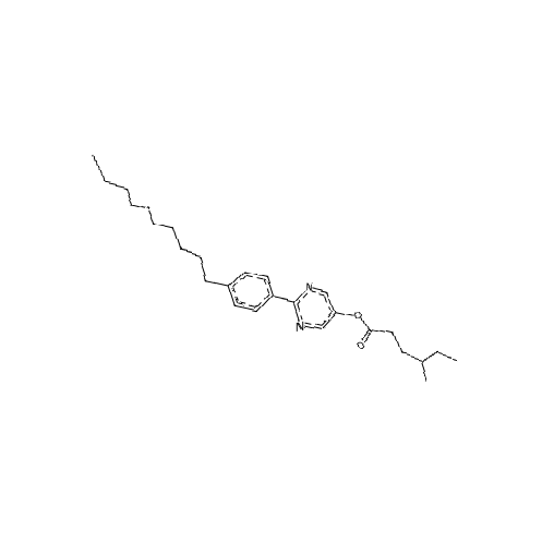 CCCCCCCCCCc1ccc(-c2ncc(OC(=O)CCC(C)CC)cn2)cc1